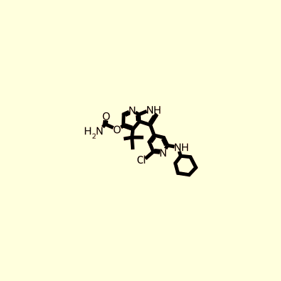 CC(C)(C)c1c(OC(N)=O)cnc2[nH]cc(-c3cc(Cl)nc(NC4CCCCC4)c3)c12